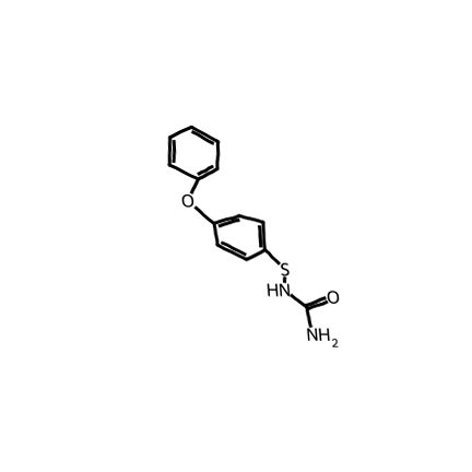 NC(=O)NSc1ccc(Oc2ccccc2)cc1